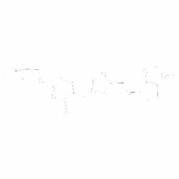 Cn1cnc2c1CC[C@H]2NC(=O)c1cn(Cc2ccc(N3CC4C(C3)C4(F)F)nc2C(F)F)cn1